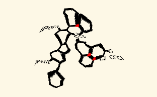 CCCC(C)c1cc2c(cc1-c1ccccc1)Cc1c-2cc(C(C)CCC)c(-c2ccccc2)[c]1[Zr+2]([C]1=CC=CC1)=[C](Cc1cccc(Cl)c1)Cc1cccc(Cl)c1.[Cl-].[Cl-]